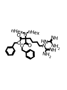 CCCCCCN(CCCCCC)C(CCCCN(NC(=N)N)C(=N)N)(C(=O)OCc1ccccc1)C(=O)OCc1ccccc1